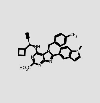 C#C[C@@H](Nc1nc(C(=O)O)nc2nc(-c3ccc4c(ccn4C)c3)n(Cc3ccc(C(F)(F)F)cc3)c12)C1CCC1